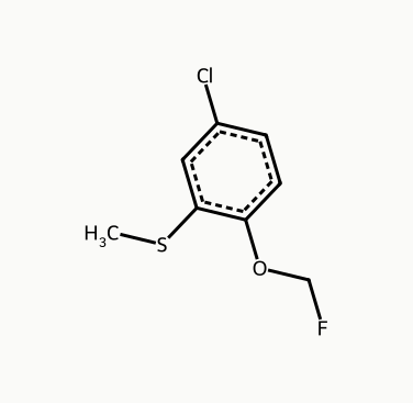 CSc1cc(Cl)ccc1OCF